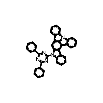 c1ccc(-c2nc(-c3ccccc3)nc(-n3c4ccccc4c4c5c6ccccc6n6c7ccccc7c(cc43)c56)n2)cc1